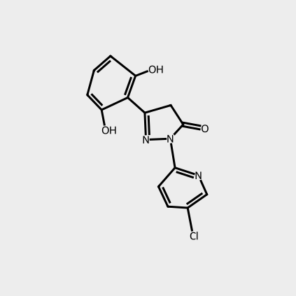 O=C1CC(c2c(O)cccc2O)=NN1c1ccc(Cl)cn1